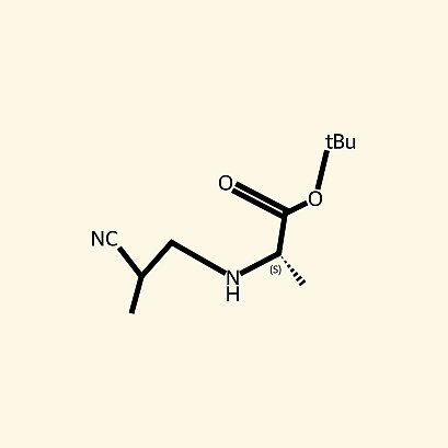 CC(C#N)CN[C@@H](C)C(=O)OC(C)(C)C